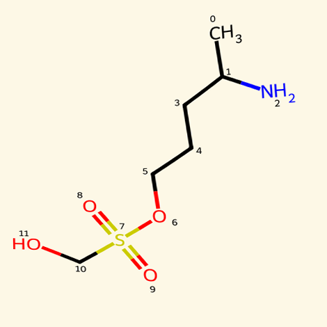 CC(N)CCCOS(=O)(=O)CO